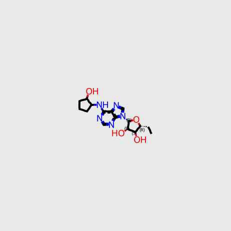 CC[C@H]1O[C@@H](n2cnc3c(NC4CCCC4O)ncnc32)[C@H](O)[C@@H]1O